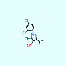 CC(C)c1nn(-c2ccc(Cl)cc2Cl)c(Cl)c1C=O